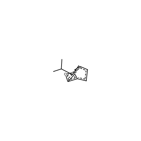 CC(C)c1c2on3c1ccc23